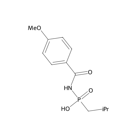 COc1ccc(C(=O)NP(=O)(O)CC(C)C)cc1